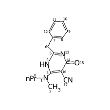 CCCN(C)c1[nH]c(Cc2ccccc2)nc(=O)c1C#N